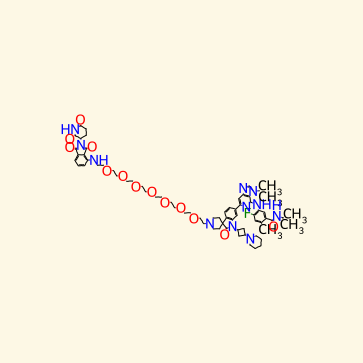 Cc1cc(F)c(Nc2nc(-c3ccc4c(c3)N([C@H]3C[C@@H](N5CCCCC5)C3)C(=O)C43CCN(CCOCCOCCOCCOCCOCCOCCOCCNc4cccc5c4C(=O)N(C4CCC(=O)NC4=O)C5=O)CC3)cc3ncn(C(C)C)c23)cc1C(=O)NC(C)C